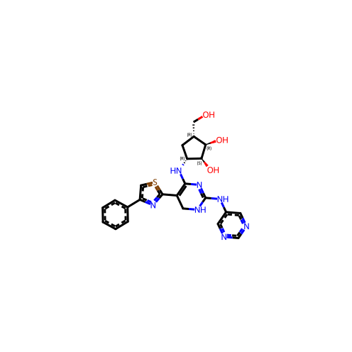 OC[C@H]1C[C@@H](NC2=C(c3nc(-c4ccccc4)cs3)CNC(Nc3cncnc3)=N2)[C@H](O)[C@@H]1O